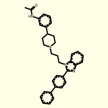 CC(=O)Nc1cccc(C2CCN(CCCn3c(-c4ccc(-c5ccccc5)cc4)nc4ccccc43)CC2)c1